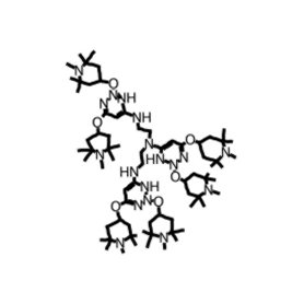 CN1C(C)(C)CC(OC2=NN(OC3CC(C)(C)N(C)C(C)(C)C3)NC(NCCN(CCNC3=CC(OC4CC(C)(C)N(C)C(C)(C)C4)=NN(OC4CC(C)(C)N(C)C(C)(C)C4)N3)C3=CC(OC4CC(C)(C)N(C)C(C)(C)C4)=NN(OC4CC(C)(C)N(C)C(C)(C)C4)N3)=C2)CC1(C)C